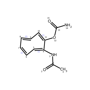 CC(=O)NC1=C\C=C/C=C/C=C\1OC(N)=O